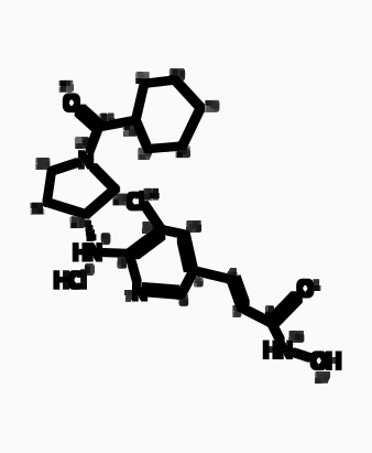 Cl.O=C(C=Cc1cnc(N[C@@H]2CCN(C(=O)C3CCCCC3)C2)c(Cl)c1)NO